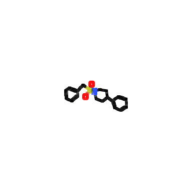 O=S(=O)(Cc1ccccc1)N1CCC(c2ccccc2)CC1